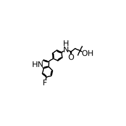 CC(C)(O)CC(=O)Nc1ccc(-c2c[nH]c3cc(F)ccc23)cc1